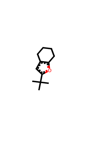 CC(C)(C)c1cc2c(o1)CCCC2